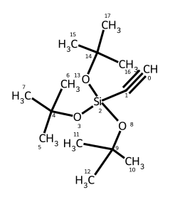 C#C[Si](OC(C)(C)C)(OC(C)(C)C)OC(C)(C)C